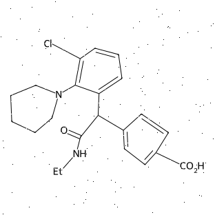 CCNC(=O)C(c1ccc(C(=O)O)cc1)c1cccc(Cl)c1N1CCCCC1